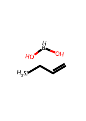 C=CC[SiH3].OBO